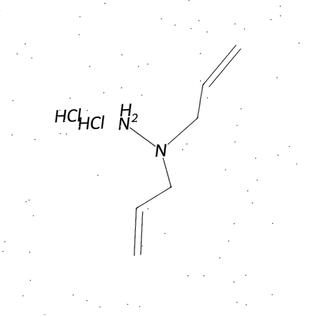 C=CCN(N)CC=C.Cl.Cl